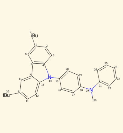 CCC(C)c1ccc2c(c1)c1cc(C(C)CC)ccc1n2-c1ccc(N(C)c2ccccc2)cc1